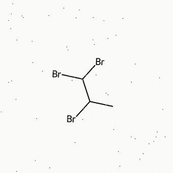 CC(Br)C(Br)Br